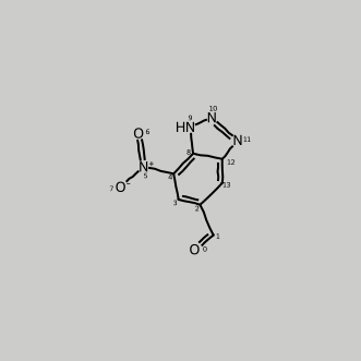 O=Cc1cc([N+](=O)[O-])c2[nH]nnc2c1